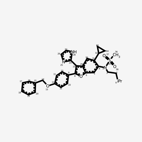 CC(C)CCN(c1cc2oc(-c3ccc(OCc4ccccc4)cc3)c(-c3ncc[nH]3)c2cc1C1CC1)S(C)(=O)=O